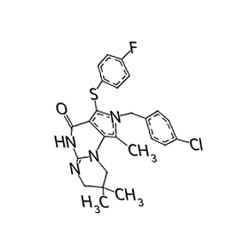 Cc1c2c(c(Sc3ccc(F)cc3)n1Cc1ccc(Cl)cc1)C(=O)NC1=NCC(C)(C)CN12